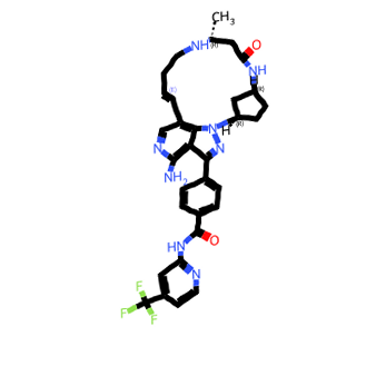 C[C@@H]1CC(=O)N[C@@H]2CC[C@H](C2)n2nc(-c3ccc(C(=O)Nc4cc(C(F)(F)F)ccn4)cc3)c3c(N)ncc(c32)/C=C/CCN1